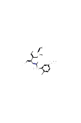 C/C=C(CN(C)/C=C\CC)/C(/C=C(\C)Nc1cc(NC)ccc1C)=C/CC